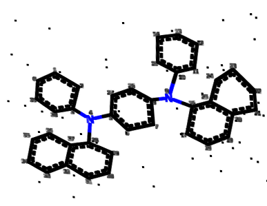 c1ccc(N(c2ccc(N(c3ccccc3)c3cccc4ccccc34)cc2)c2cccc3ccccc23)cc1